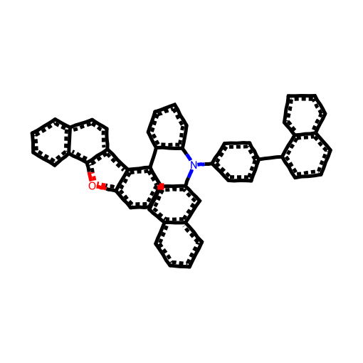 c1ccc(N(c2ccc(-c3cccc4ccccc34)cc2)c2ccc3ccccc3c2)c(-c2cccc3oc4c5ccccc5ccc4c23)c1